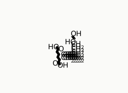 C=C.C=C.C=C.C=C.C=C.C=C.C=C.C=C.O=C(O)CCCCC(=O)O.OCCO